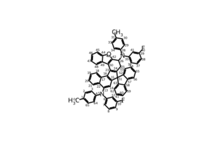 Cc1ccc(N(c2cccc(F)c2)c2cc3c(c4ccccc24)C2=C(CC(N(c4ccc(C)cc4)c4cccc(F)c4)c4oc5ccccc5c42)C32c3ccccc3-c3ccccc32)cc1